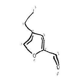 O=Cc1cc(CI)co1